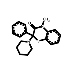 CN1C(=O)C(c2ccccc2)(N2CCCCC2)Sc2ccccc21